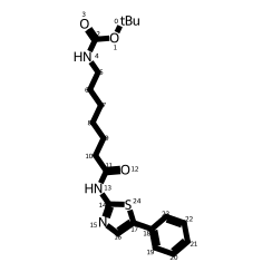 CC(C)(C)OC(=O)NCCCCCCC(=O)Nc1ncc(-c2ccccc2)s1